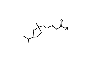 CC(C)C1CCC(C)(CCSCC(=O)O)S1